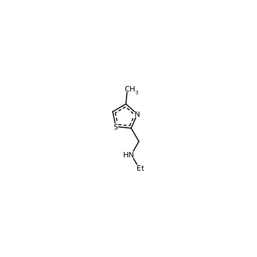 CCNCc1nc(C)cs1